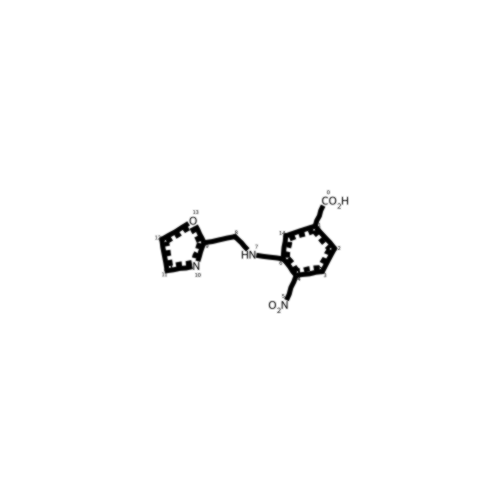 O=C(O)c1ccc([N+](=O)[O-])c(NCc2ncco2)c1